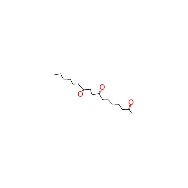 CCCCCCC(=O)CCC(=O)CCCCCC(C)=O